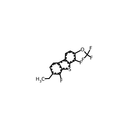 CCc1ccc2c(sc3c(F)c(OC(F)(F)F)ccc32)c1F